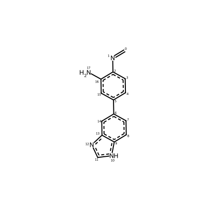 C=Nc1ccc(-c2ccc3[nH]cnc3c2)cc1N